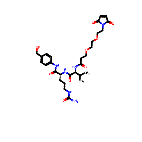 CC(C)[C@H](NC(=O)CCOCCOCCN1C(=O)C=CC1=O)C(=O)N[C@@H](CCCNC(N)=O)C(=O)Nc1ccc(CO)cc1